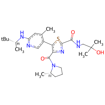 Cc1cc(N[C@H](C)C(C)(C)C)ncc1-c1sc(C(=O)NCC(C)(C)O)nc1C(=O)N1CCC[C@@H]1C